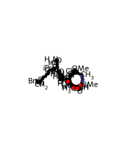 C=C(CBr)C(=O)OCCCCCC(=O)N[C@H](C(=O)N[C@@H](CCCNC(N)=O)C(=O)Nc1ccc(NC(=O)O[C@H]2CC(=O)N(C)c3cc(cc(OC)c3Cl)C/C(C)=C/C=C/[C@@H](OC)[C@@]3(O)C[C@H](OC(=O)N3)[C@@H](C)[C@@H]3O[C@@]23C)c(C(F)(F)F)c1)C(C)C